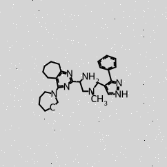 CN(Cc1c[nH]nc1-c1ccccc1)CC(N)c1nc2c(c(N3CCCCCC3)n1)CCCCC2